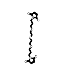 O=C1C=CC(=O)N1CCCOCCOCCOCCCN1C(=O)C=CC1=O